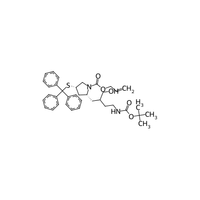 C=CCOC(=O)N1C[C@@H](SC(c2ccccc2)(c2ccccc2)c2ccccc2)C[C@H]1CC(CO)CCNC(=O)OC(C)(C)C